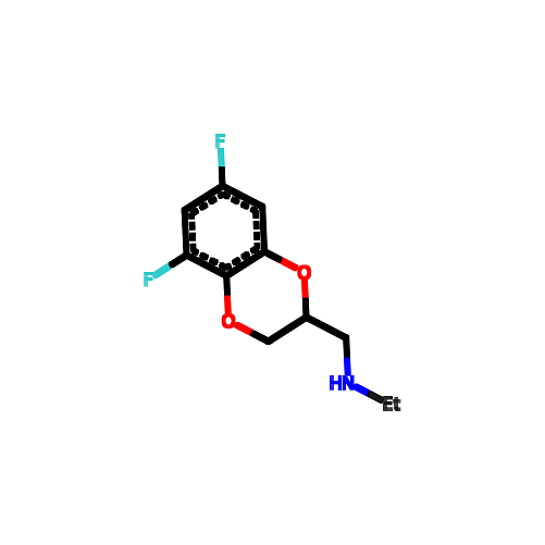 CCNCC1COc2c(F)cc(F)cc2O1